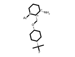 CC(=O)N1CCC[C@H](N)[C@@H]1CO[C@H]1CC[C@@H](C(C)(C)F)CC1